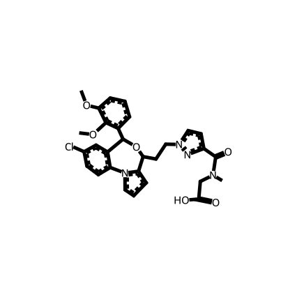 COc1cccc(C2OC(CCn3ccc(C(=O)N(C)CC(=O)O)n3)c3cccn3-c3ccc(Cl)cc32)c1OC